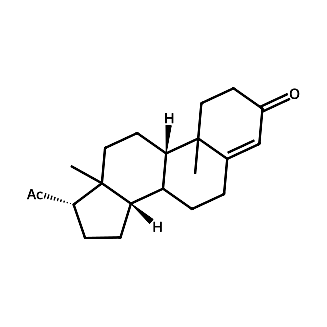 CC(=O)[C@H]1CC[C@H]2C3CCC4=CC(=O)CCC4(C)[C@H]3CCC12C